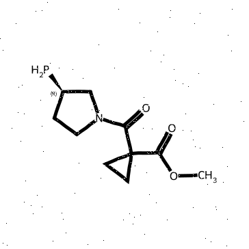 COC(=O)C1(C(=O)N2CC[C@@H](P)C2)CC1